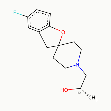 C[C@H](O)CN1CCC2(CC1)Cc1cc(F)ccc1O2